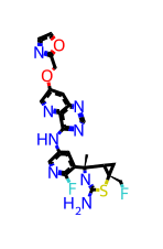 C[C@]1(c2cc(Nc3ncnc4cc(OCc5ncco5)cnc34)cnc2F)N=C(N)S[C@@]2(CF)CC21